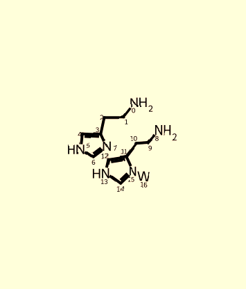 NCCc1c[nH]cn1.NCCc1c[nH]cn1.[W]